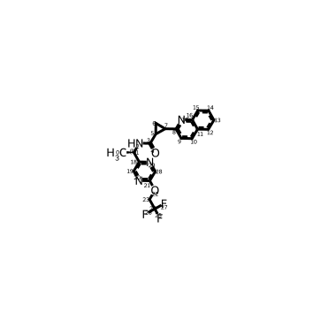 C[C@@H](NC(=O)C1CC1c1ccc2ccccc2n1)c1cnc(OCC(F)(F)F)cn1